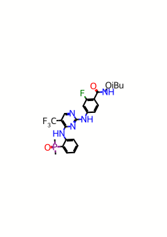 CC(C)CONC(=O)c1ccc(Nc2ncc(C(F)(F)F)c(Nc3ccccc3P(C)(C)=O)n2)cc1F